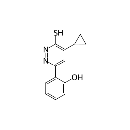 Oc1ccccc1-c1cc(C2CC2)c(S)nn1